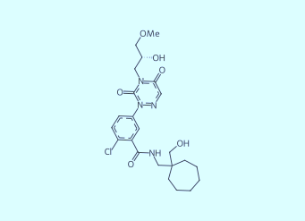 COC[C@H](O)Cn1c(=O)cnn(-c2ccc(Cl)c(C(=O)NCC3(CO)CCCCCC3)c2)c1=O